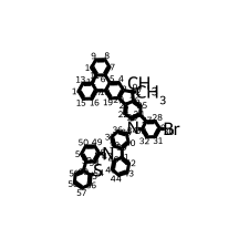 CC1(C)c2cc3c4ccccc4c4ccccc4c3cc2-c2cc3c(cc21)c1cc(Br)ccc1n3-c1ccc2c(c1)c1ccccc1n2-c1cccc2c1sc1ccccc12